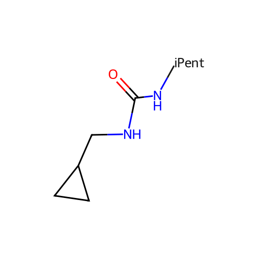 CCCC(C)NC(=O)NCC1CC1